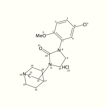 COc1ccc(Cl)cc1N1CCN(C2CN3CCC2CC3)C1=O.Cl